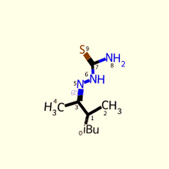 CCC(C)C(C)/C(C)=N\NC(N)=S